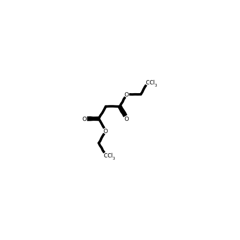 O=C(CC(=O)OCC(Cl)(Cl)Cl)OCC(Cl)(Cl)Cl